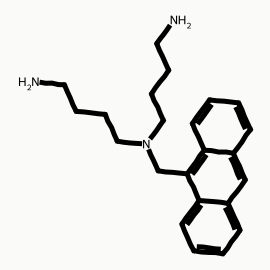 NCCCCN(CCCCN)Cc1c2ccccc2cc2ccccc12